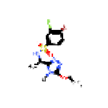 CCn1c(OCC(F)(F)F)nnc1[C@@H](C)NS(=O)(=O)c1ccc(Br)c(F)c1